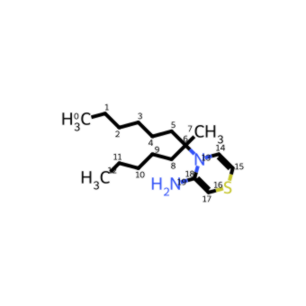 CCCCCCC(C)(CCCCC)N1C=CSC=C1N